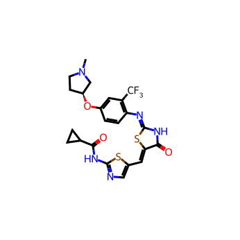 CN1CC[C@H](Oc2ccc(/N=C3/NC(=O)/C(=C/c4cnc(NC(=O)C5CC5)s4)S3)c(C(F)(F)F)c2)C1